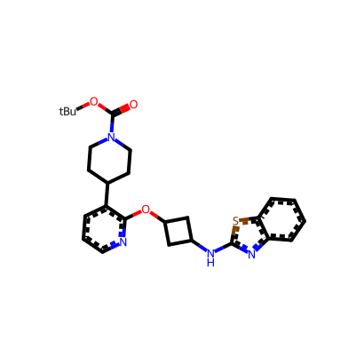 CC(C)(C)OC(=O)N1CCC(c2cccnc2OC2CC(Nc3nc4ccccc4s3)C2)CC1